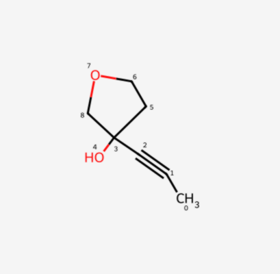 CC#CC1(O)CCOC1